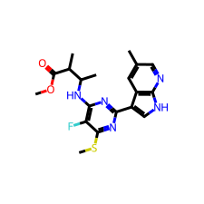 COC(=O)C(C)C(C)Nc1nc(-c2c[nH]c3ncc(C)cc23)nc(SC)c1F